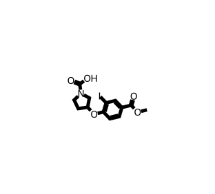 COC(=O)c1ccc(OC2CCN(C(=O)O)C2)c(I)c1